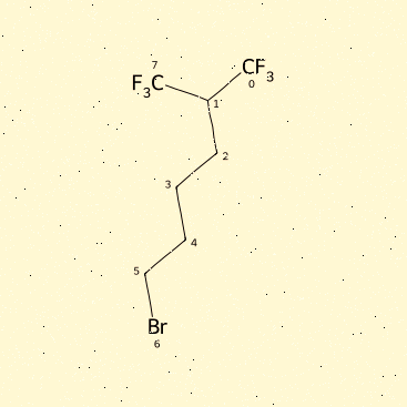 FC(F)(F)C(CCCCBr)C(F)(F)F